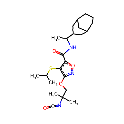 CC(C)Sc1c(OCC(C)(C)N=C=O)noc1C(=O)NC(C)C1CC2CCCC(C2)C1